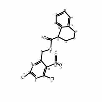 O=C(OCc1nc(Cl)nc(Cl)c1[N+](=O)[O-])C1CCCc2ccccc21